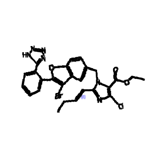 CC/C=C/c1nc(Cl)c(C(=O)OCC)n1Cc1ccc2oc(-c3ccccc3-c3nnn[nH]3)c(Br)c2c1